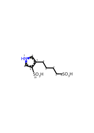 O=S(=O)(O)CCCCc1[c][nH][c]c1S(=O)(=O)O